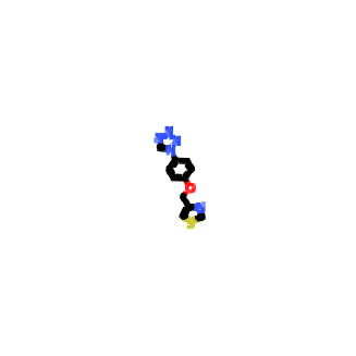 c1nc(COc2ccc(-n3cnnn3)cc2)cs1